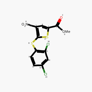 COC(=O)c1cc([N+](=O)[O-])c(Sc2ccc(Cl)cc2Cl)s1